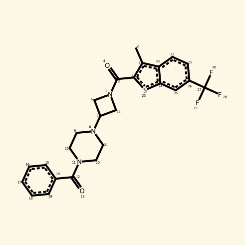 Cc1c(C(=O)N2CC(N3CCN(C(=O)c4ccccc4)CC3)C2)sc2cc(C(F)(F)F)ccc12